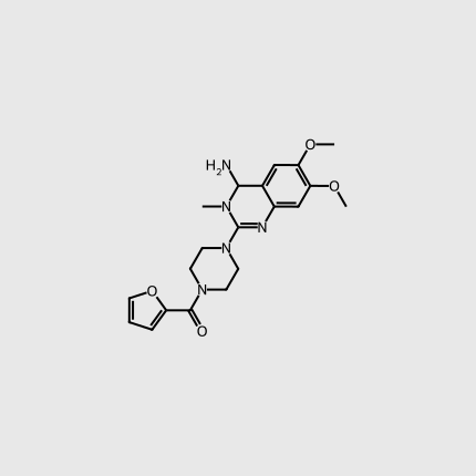 COc1cc2c(cc1OC)C(N)N(C)C(N1CCN(C(=O)c3ccco3)CC1)=N2